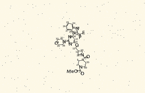 COC(=O)N1CCC(C(=O)N2CC(COc3cc(-n4c(C(F)F)nc5ccccc54)nc(N4CCOCC4)n3)C2)CC1